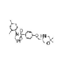 Cc1ccc(N(CC(C)C)S(=O)(=O)c2ccc(OCC3COC(C)(C)CN3)cc2)c(C)c1